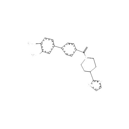 COc1ccc(-c2ccc(C(=O)N3CCC(c4ncc[nH]4)CC3)cc2)cc1OC